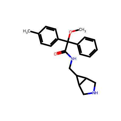 COC(C(=O)NCC1C2CNCC21)(c1ccccc1)c1ccc(C)cc1